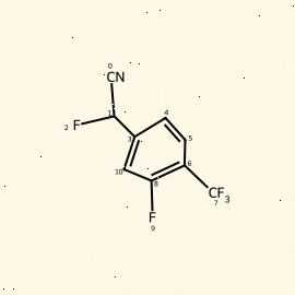 N#CC(F)c1ccc(C(F)(F)F)c(F)c1